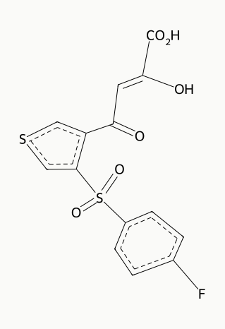 O=C(O)C(O)=CC(=O)c1cscc1S(=O)(=O)c1ccc(F)cc1